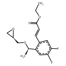 CCOC(=O)/C=C/c1cc(F)c(F)cc1[C@@H](C)OC[C@H]1CO1